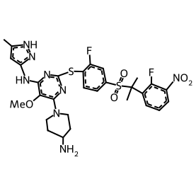 COc1c(Nc2cc(C)[nH]n2)nc(Sc2ccc(S(=O)(=O)C(C)(C)c3cccc([N+](=O)[O-])c3F)cc2F)nc1N1CCC(N)CC1